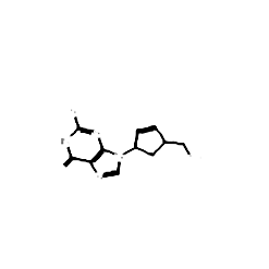 CC(=O)OCC1C=CC(n2cnc3c(=O)[nH]c(N)nc32)C1